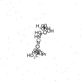 CC[C@@](CC(C)C)(NS(=O)(=O)c1ccc(N2CCC(NC[C@H](O)c3ccc(O)c(NS(C)(=O)=O)c3)CC2)cc1)C(=O)O